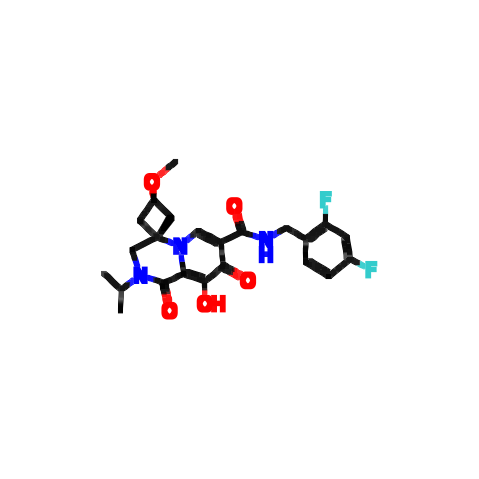 CO[C@H]1C[C@@]2(CN(C(C)C)C(=O)c3c(O)c(=O)c(C(=O)NCc4ccc(F)cc4F)cn32)C1